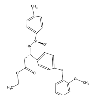 CCOC(=O)C[C@H](N[S@+]([O-])c1ccc(C)cc1)c1ccc(Oc2ccccc2OC)cc1